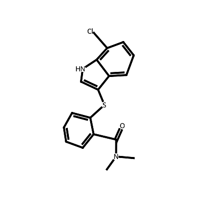 CN(C)C(=O)c1ccccc1Sc1c[nH]c2c(Cl)cccc12